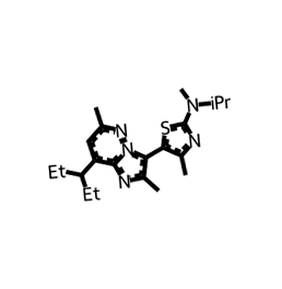 CCC(CC)c1cc(C)nn2c(-c3sc(N(C)C(C)C)nc3C)c(C)nc12